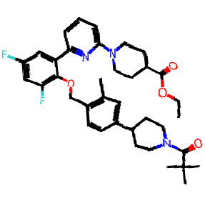 CCOC(=O)C1CCN(c2cccc(-c3cc(F)cc(F)c3OCc3ccc(C4CCN(C(=O)C(C)(C)C)CC4)cc3C)n2)CC1